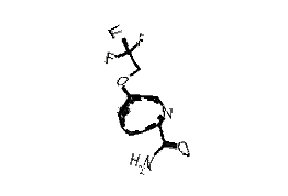 NC(=O)c1ccc(OCC(F)(F)F)cn1